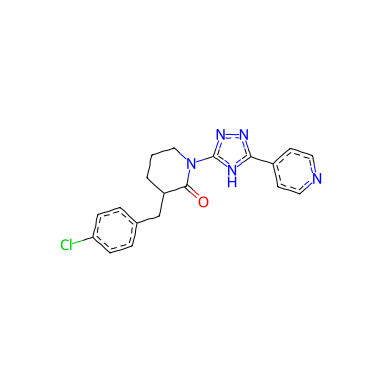 O=C1C(Cc2ccc(Cl)cc2)CCCN1c1nnc(-c2ccncc2)[nH]1